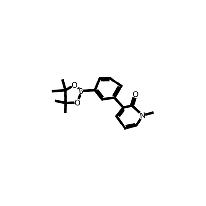 Cn1cccc(-c2cccc(B3OC(C)(C)C(C)(C)O3)c2)c1=O